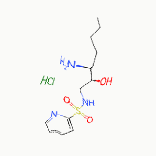 CCCC[C@H](N)[C@@H](O)CNS(=O)(=O)c1ccccn1.Cl